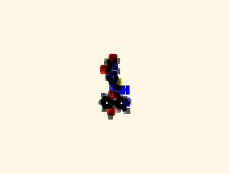 COc1ccccc1-c1cc(C)ncc1C(=O)Nc1nc2c(s1)CN(C(=O)c1cocn1)C2